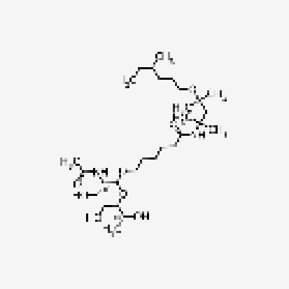 CCC(C)CCCOC(C)(C)CC(C)(C)NC(=O)CCCCCOC(OC(CO)[C@@H](C)O)[C@H](CO)NC(C)=O